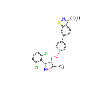 O=C(O)c1nsc2cc(-c3ccc(OCc4c(-c5c(Cl)cccc5Cl)noc4C4CC4)cc3)ccc12